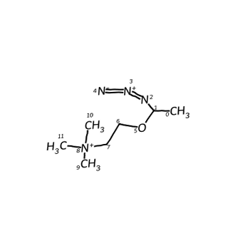 CC(N=[N+]=[N-])OCC[N+](C)(C)C